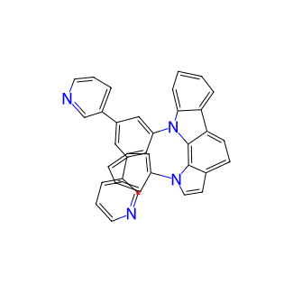 c1ccc(-n2ccc3ccc4c5ccccc5n(-c5cc(-c6cccnc6)cc(-c6cccnc6)c5)c4c32)cc1